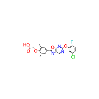 Cc1cc(-c2nc3cnc(Oc4cc(Cl)ccc4F)nc3o2)cc(C)c1OCC(=O)O